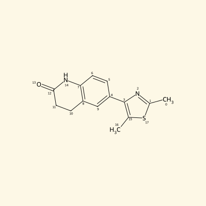 Cc1nc(-c2ccc3c(c2)CCC(=O)N3)c(C)s1